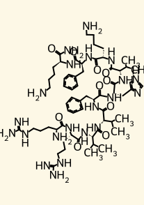 CC(C)[C@H](NC(=O)[C@H](Cc1c[nH]cn1)NC(=O)[C@H](Cc1ccccc1)NC(=O)[C@@H](NC(=O)[C@@H](NC(=O)[C@H](CCCNC(=N)N)NC(=O)[C@@H](N)CCCNC(=N)N)C(C)C)C(C)C)C(=O)N[C@@H](CCCCN)C(=O)N[C@@H](Cc1ccccc1)C(=O)N[C@@H](CCCCN)C(N)=O